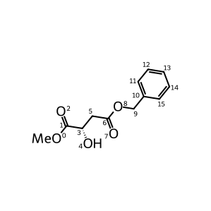 COC(=O)[C@@H](O)CC(=O)OCc1ccccc1